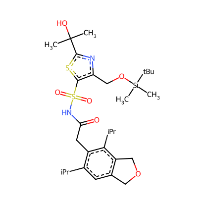 CC(C)c1cc2c(c(C(C)C)c1CC(=O)NS(=O)(=O)c1sc(C(C)(C)O)nc1CO[Si](C)(C)C(C)(C)C)COC2